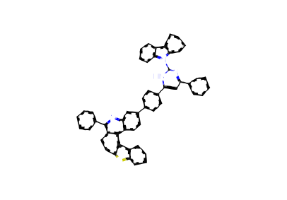 C1=C(c2ccc(-c3ccc4c(c3)nc(-c3ccccc3)c3ccc5sc6ccccc6c5c34)cc2)NC(n2c3ccccc3c3ccccc32)N=C1c1ccccc1